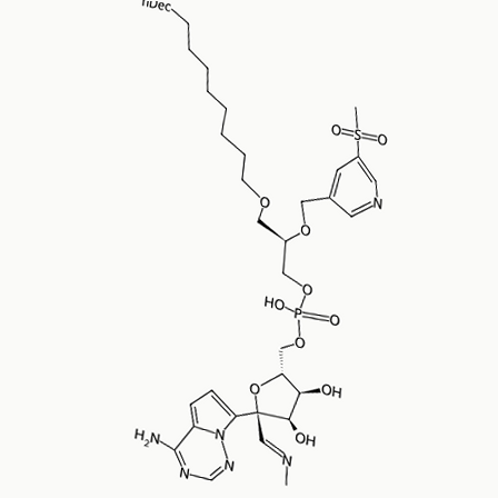 CCCCCCCCCCCCCCCCCCOC[C@H](COP(=O)(O)OC[C@H]1O[C@@](C=NC)(c2ccc3c(N)ncnn23)[C@H](O)[C@@H]1O)OCc1cncc(S(C)(=O)=O)c1